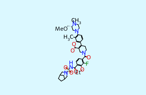 CCOc1c(C(=O)NS(=O)(=O)N2CC3CCC(C3)C2)ccc(C(=O)N2CCc3c(c(=O)oc4c(C)c(N5CCN(C)[C@@H](COC)C5)ccc34)C2)c1F